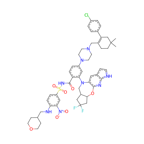 CC1(C)CCC(CN2CCN(c3ccc(C(=O)NS(=O)(=O)c4ccc(NCC5CCOCC5)c([N+](=O)[O-])c4)c(N4CC5CC(F)(F)CC5Oc5nc6[nH]ccc6cc54)c3)CC2)=C(c2ccc(Cl)cc2)C1